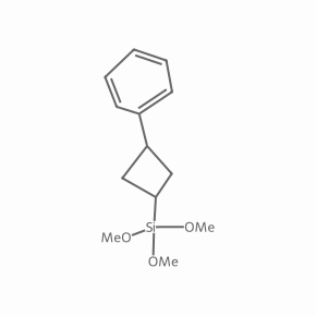 CO[Si](OC)(OC)C1CC(c2ccccc2)C1